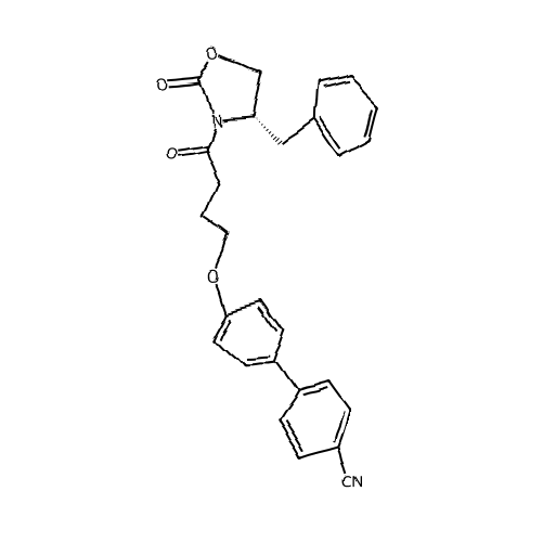 N#Cc1ccc(-c2ccc(OCCCC(=O)N3C(=O)OC[C@@H]3Cc3ccccc3)cc2)cc1